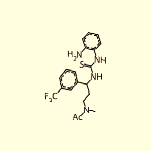 CC(=O)N(C)CCC(NC(=S)Nc1ccccc1N)c1cccc(C(F)(F)F)c1